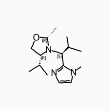 CC(C)[C@@H](c1nccn1C)N1[C@@H](C)OC[C@H]1C(C)C